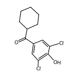 O=C(c1cc(Cl)c(O)c(Cl)c1)C1CCCCC1